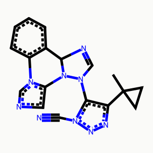 CC1(c2nnn(C#N)c2N2C=NC3c4ccccc4-n4cncc4N32)CC1